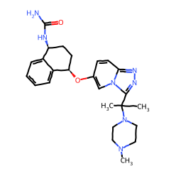 CN1CCN(C(C)(C)c2nnc3ccc(O[C@@H]4CC[C@H](NC(N)=O)c5ccccc54)cn23)CC1